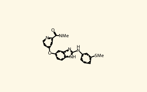 CNC(=O)c1cc(Oc2ccc3[nH]c(Nc4cccc(SC)c4)nc3c2)ccn1